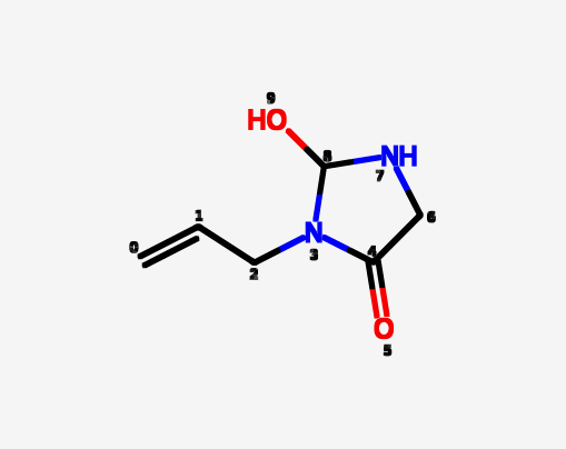 C=CCN1C(=O)CNC1O